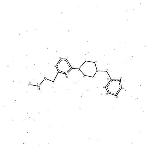 CCNOCc1cccc(C2CCN(Cc3ccccc3)CC2)n1